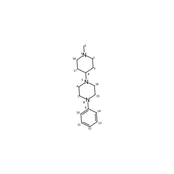 CN1CCC(N2CCN(c3ccccc3)CC2)CC1